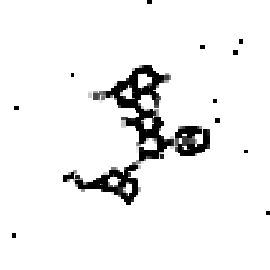 COCC1C2CC3(COc4nc(N5CC6CCC(C5)N6)c5cnc(-c6cc(O)cc7ccc(F)c(F)c67)c(F)c5n4)CCCN3C12